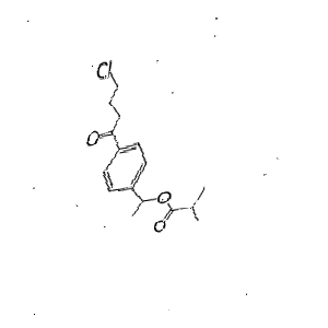 CC(C)C(=O)OC(C)c1ccc(C(=O)CCCCl)cc1